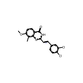 COc1ccc2c(=O)[nH]c(/C=C/c3ccc(Cl)c(Cl)c3)nc2c1C